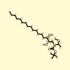 CCCCCCCCCCCCCC[C@@H](O)[C@@H](O)[C@@H]1COC(C)N1C(=O)OC(C)(C)C